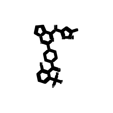 Cc1cc(Nc2nc(N3CCN(C(=O)c4c(F)cccc4C(F)(F)F)CC3)nn3cccc23)n[nH]1